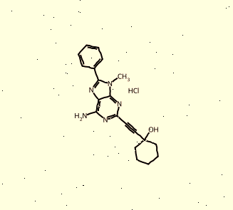 Cl.Cn1c(-c2ccccc2)nc2c(N)nc(C#CC3(O)CCCCC3)nc21